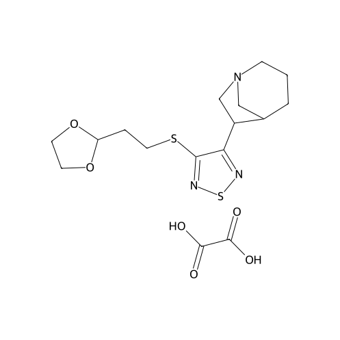 C1CC2CN(C1)CC2c1nsnc1SCCC1OCCO1.O=C(O)C(=O)O